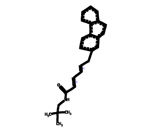 CC(C)(C)CNC(=O)/C=C/C=C/Cc1ccc2c(ccc3ccccc32)c1